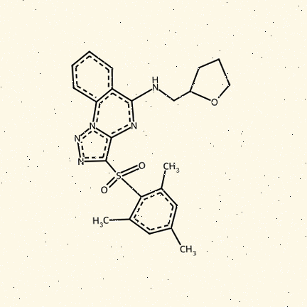 Cc1cc(C)c(S(=O)(=O)c2nnn3c2nc(NCC2CCCO2)c2ccccc23)c(C)c1